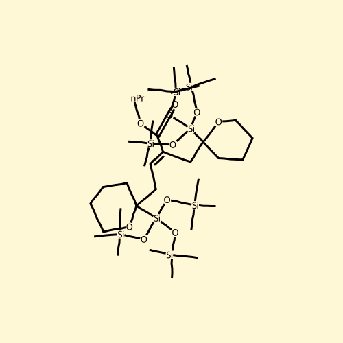 CCCOC(=O)C(=CCC1([Si](O[Si](C)(C)C)(O[Si](C)(C)C)O[Si](C)(C)C)CCCCO1)CC1([Si](O[Si](C)(C)C)(O[Si](C)(C)C)O[Si](C)(C)C)CCCCO1